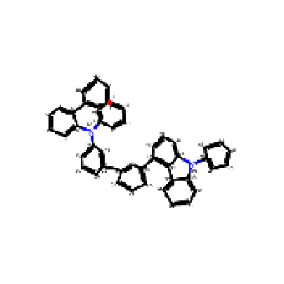 c1ccc(-c2ccccc2N(c2ccccc2)c2cccc(-c3cccc(-c4cccc5c4c4ccccc4n5-c4ccccc4)c3)c2)cc1